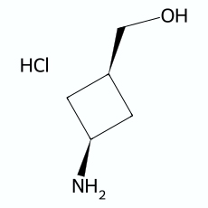 Cl.N[C@H]1C[C@@H](CO)C1